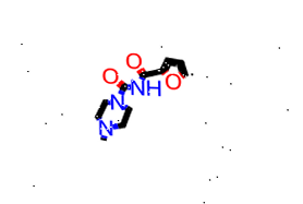 CN1CCN(C(=O)NC(=O)c2cc[c]o2)CC1